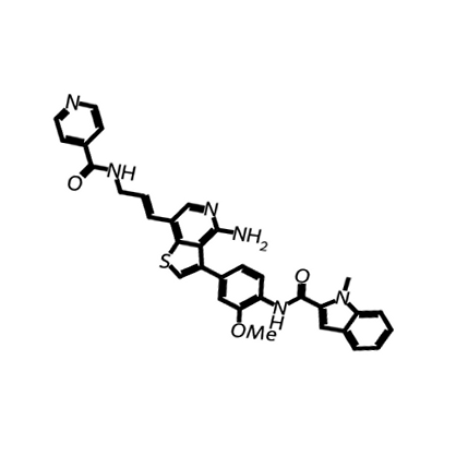 COc1cc(-c2csc3c(C=CCNC(=O)c4ccncc4)cnc(N)c23)ccc1NC(=O)c1cc2ccccc2n1C